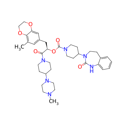 Cc1cc(C[C@@H](OC(=O)N2CCC(N3CCc4ccccc4NC3=O)CC2)C(=O)N2CCC(N3CCN(C)CC3)CC2)cc2c1OCCO2